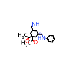 CC(=O)C1(C(C)=O)CC(C=N)=C/C(=C/Nc2ccccc2)C1